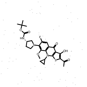 COc1c(N2CC[C@H](NC(=O)OC(C)(C)C)C2)c(F)cc2c(=O)c3c(O)c(C(C)=O)sc3n(C3CC3)c12